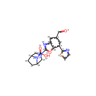 O=Cc1cc(-c2nccs2)c2oc(N3CC4CCC(C3)N4C(=O)O)nc2c1